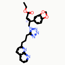 CCOC(=O)/C=C(/Cn1nnnc1CCCc1ccc2cccnc2n1)c1ccc2c(c1)OCO2